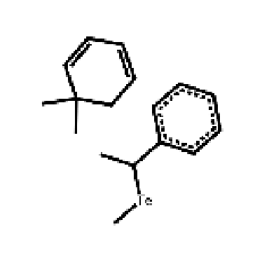 CC1(C)C=CC=CC1.C[Te]C(C)c1ccccc1